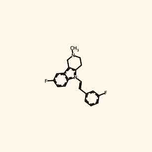 CN1CCc2c(c3cc(F)ccc3n2C=Cc2cccc(F)c2)C1